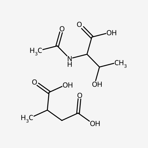 CC(=O)NC(C(=O)O)C(C)O.CC(CC(=O)O)C(=O)O